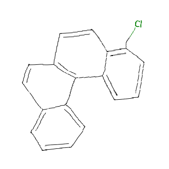 Clc1cccc2c1ccc1ccc3ccccc3c12